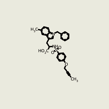 CC#CCOc1ccc(S(=O)(=O)NC(Cc2cn(Cc3ccccc3)c3ccc(C)cc23)C(=O)O)cc1